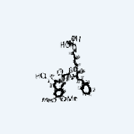 COc1cc2c(cc1OC)CN(C(=O)C(C)NC(CCC1=CCCC=C1)C(=O)OCCCCON(O)O)C(C(=O)O)C2